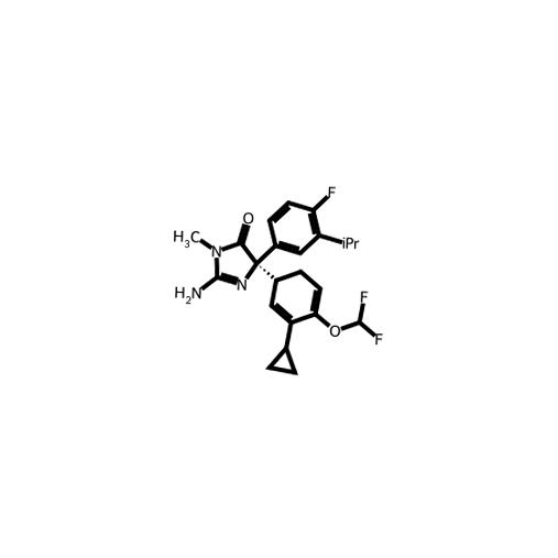 CC(C)c1cc([C@@]2(C3C=C(C4CC4)C(OC(F)F)=CC3)N=C(N)N(C)C2=O)ccc1F